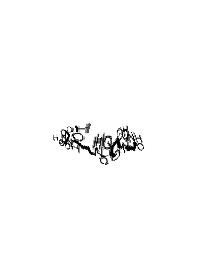 N[C@@](CC(=O)O)(NC(=O)CCCNC(=O)[C@H]1O[C@@H](n2ccc(=O)[nH]c2=O)[C@@H](O)[C@@H]1O)C(=O)O